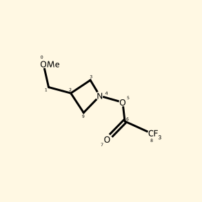 COCC1CN(OC(=O)C(F)(F)F)C1